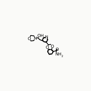 NC(=O)c1cccc2c1OCC(c1cncc(CC(O)N3CCOCC3)c1)O2